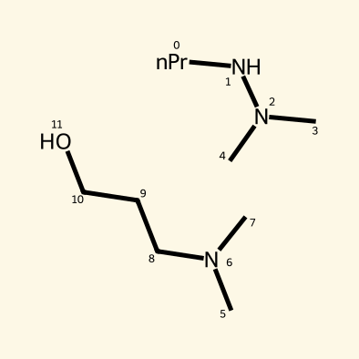 CCCNN(C)C.CN(C)CCCO